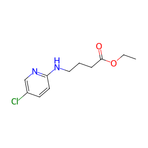 CCOC(=O)CCCNc1ccc(Cl)cn1